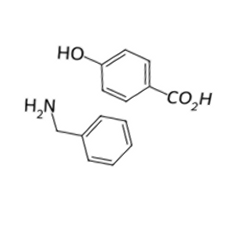 NCc1ccccc1.O=C(O)c1ccc(O)cc1